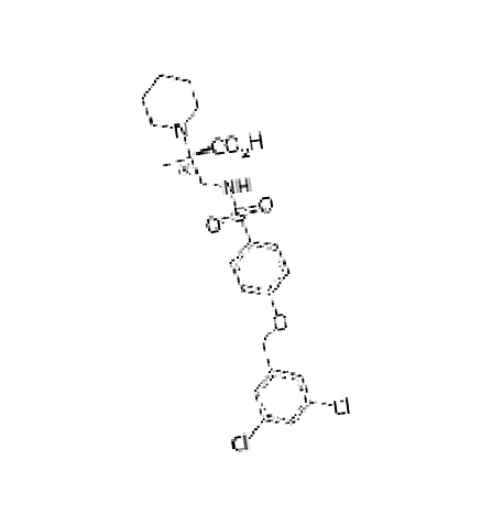 C[C@](CNS(=O)(=O)c1ccc(OCc2cc(Cl)cc(Cl)c2)cc1)(C(=O)O)N1CCCCC1